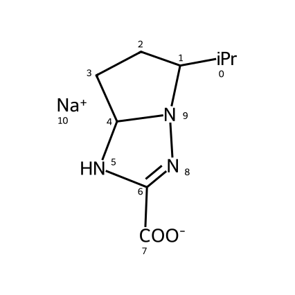 CC(C)C1CCC2NC(C(=O)[O-])=NN21.[Na+]